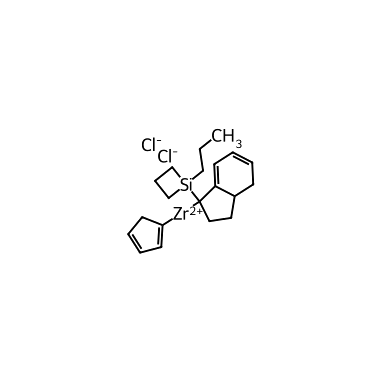 CCC[Si]1([C]2([Zr+2][C]3=CC=CC3)CCC3CC=CC=C32)CCC1.[Cl-].[Cl-]